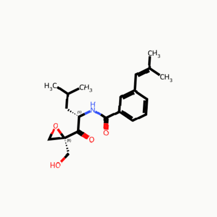 CC(C)=Cc1cccc(C(=O)N[C@@H](CC(C)C)C(=O)[C@@]2(CO)CO2)c1